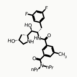 CCCN(CCC)C(=O)c1cc(C)cc(C(=O)N[C@@H](Cc2cc(F)cc(F)c2)[C@H](O)[C@H]2C[C@@H](O)CN2)c1